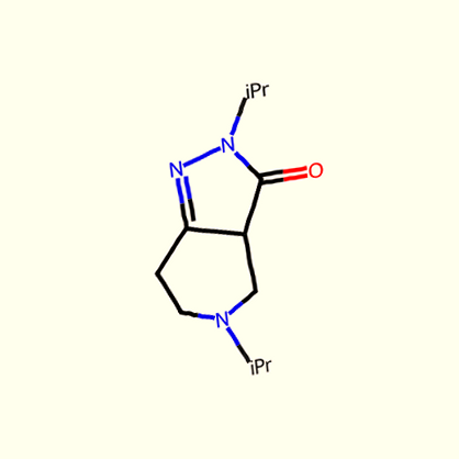 CC(C)N1CCC2=NN(C(C)C)C(=O)C2C1